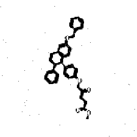 COC(=O)CCC(=O)COc1ccc([C@@H]2c3ccc(OCc4ccccc4)cc3CCC2c2ccccc2)cc1